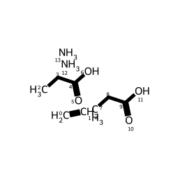 C=C.CCC(=O)O.CCC(=O)O.N.N